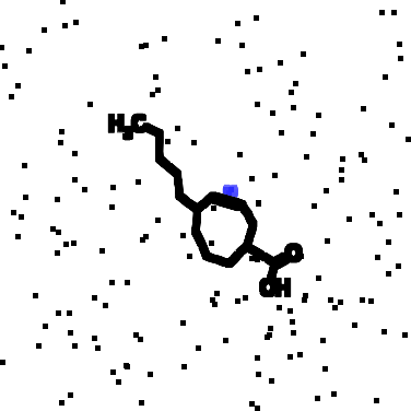 CCCCCC1/C=C\CC(C(=O)O)CCC1